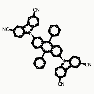 N#Cc1ccc2c(c1)c1cc(C#N)ccc1n2-c1ccc2c(-c3ccccc3)c3cc(-n4c5ccc(C#N)cc5c5cc(C#N)ccc54)ccc3c(-c3ccccc3)c2c1